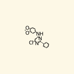 Clc1cc(Nc2ccc3c(c2)OCO3)nc(-c2ccccc2)n1